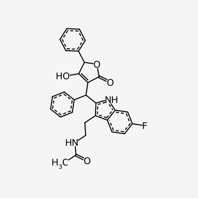 CC(=O)NCCc1c(C(C2=C(O)C(c3ccccc3)OC2=O)c2ccccc2)[nH]c2cc(F)ccc12